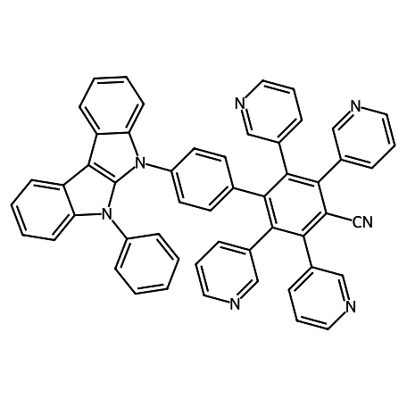 N#Cc1c(-c2cccnc2)c(-c2cccnc2)c(-c2ccc(-n3c4ccccc4c4c5ccccc5n(-c5ccccc5)c43)cc2)c(-c2cccnc2)c1-c1cccnc1